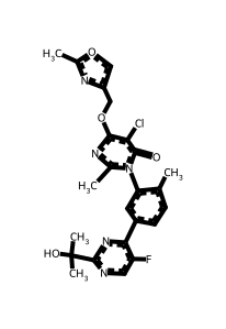 Cc1nc(COc2nc(C)n(-c3cc(-c4nc(C(C)(C)O)ncc4F)ccc3C)c(=O)c2Cl)co1